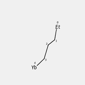 CCCC[CH2][Yb]